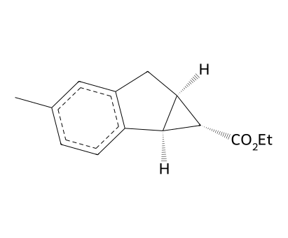 CCOC(=O)[C@H]1[C@@H]2Cc3cc(C)ccc3[C@@H]21